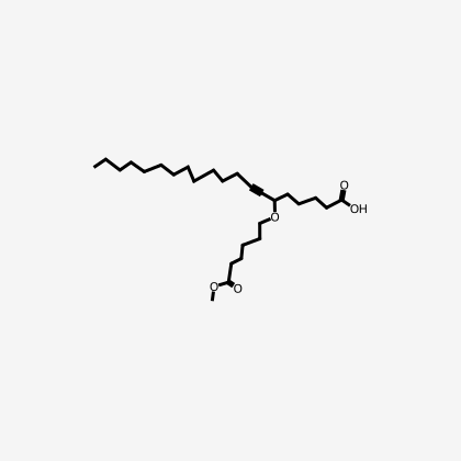 CCCCCCCCCCCCC#CC(CCCCC(=O)O)OCCCCCC(=O)OC